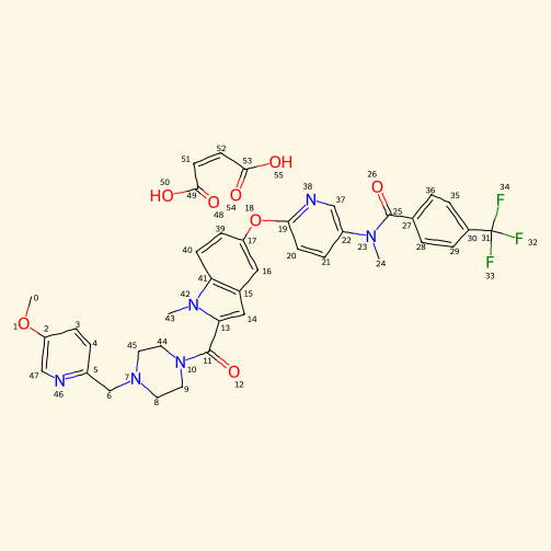 COc1ccc(CN2CCN(C(=O)c3cc4cc(Oc5ccc(N(C)C(=O)c6ccc(C(F)(F)F)cc6)cn5)ccc4n3C)CC2)nc1.O=C(O)/C=C\C(=O)O